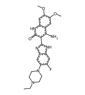 CCN1CCN(c2cc3nc(-c4c(N)c5cc(OC)c(OC)cc5[nH]c4=O)[nH]c3cc2F)CC1